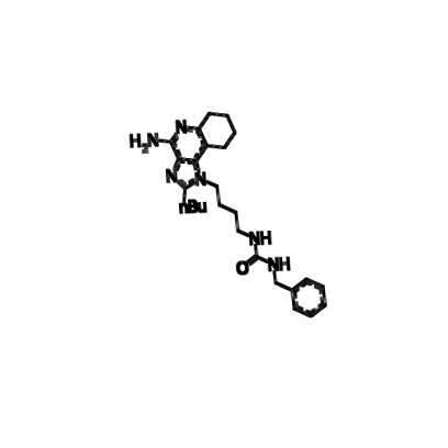 CCCCc1nc2c(N)nc3c(c2n1CCCCNC(=O)NCc1ccccc1)CCCC3